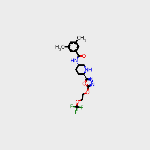 Cc1cc(C)cc(C(=O)N[C@H]2CC[C@H](c3nnc(OCCOC(F)(F)F)o3)NC2)c1